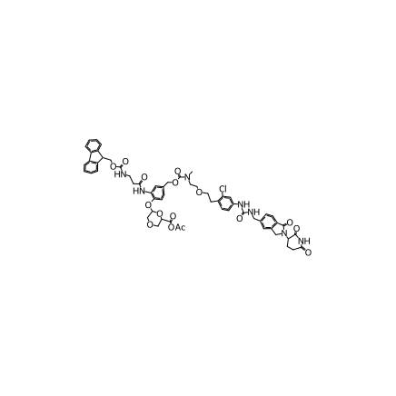 CC(=O)OC(=O)C1COCC(Oc2ccc(COC(=O)N(C)CCOCCc3ccc(NC(=O)NCc4ccc5c(c4)CN(C4CCC(=O)NC4=O)C5=O)cc3Cl)cc2NC(=O)CCNC(=O)OCC2c3ccccc3-c3ccccc32)O1